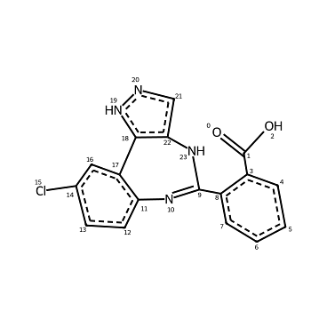 O=C(O)c1ccccc1C1=Nc2ccc(Cl)cc2-c2[nH]ncc2N1